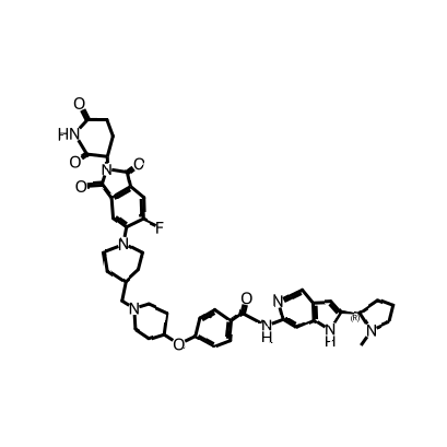 CN1CCC[C@@H]1c1cc2cnc(NC(=O)c3ccc(OC4CCN(CC5CCN(c6cc7c(cc6F)C(=O)N(C6CCC(=O)NC6=O)C7=O)CC5)CC4)cc3)cc2[nH]1